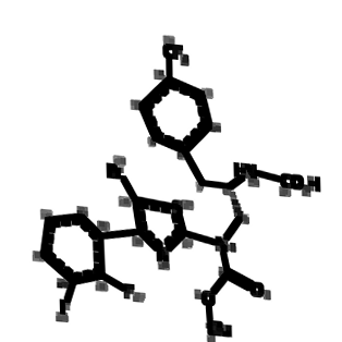 CC(C)(C)OC(=O)N(C[C@H](Cc1ccc(C(F)(F)F)cc1)NC(=O)O)c1nc(-c2cccc(F)c2F)c(Br)s1